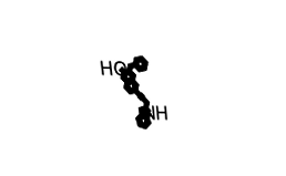 Oc1cc2ccc(C#CCc3cc4ccccc4[nH]3)cc2cc1Cc1ccccc1